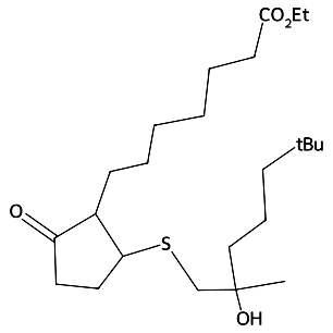 CCOC(=O)CCCCCCC1C(=O)CCC1SCC(C)(O)CCCC(C)(C)C